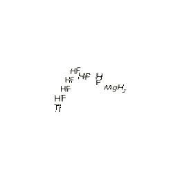 F.F.F.F.F.F.[MgH2].[Ti]